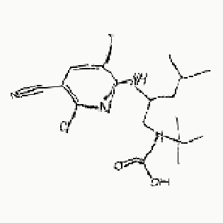 CC(C)CC(CN(C(=O)O)C(C)(C)C)Nc1nc(Cl)c(C#N)cc1F